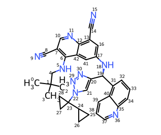 CC(C)(C)CNc1c(C#N)cnc2c(C#N)cc(N[C@H](c3cn(C4(C5CC5)CC4)nn3)c3cccc4ncccc34)cc12